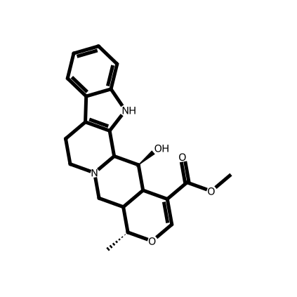 COC(=O)C1=CO[C@H](C)C2CN3CCc4c([nH]c5ccccc45)C3[C@@H](O)C12